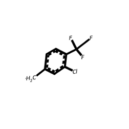 [CH2]c1ccc(C(F)(F)F)c(Cl)c1